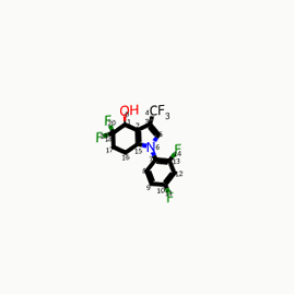 O[C@H]1c2c(C(F)(F)F)cn(-c3ccc(F)cc3F)c2CCC1(F)F